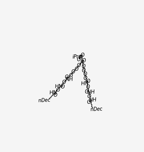 CCCCCCCCCCCCCCCC(=O)NCCOCCNC(=O)CCOCCNC(=O)CCOCCOCCOCCOCCN(CCOCCOCCOCCOCCC(=O)NCCOCCC(=O)NCCOCCNC(=O)CCCCCCCCCCCCCCC)C(=O)CCN1C(=O)CC(C(C)C)C1=O